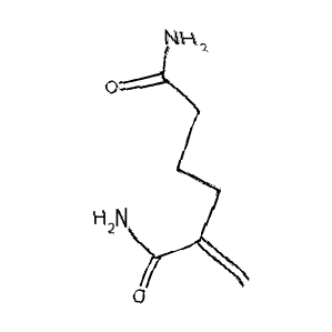 C=C(CCCC(N)=O)C(N)=O